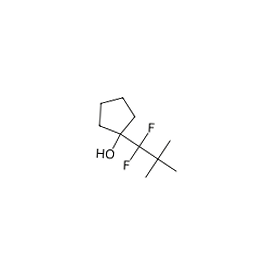 CC(C)(C)C(F)(F)C1(O)CCCC1